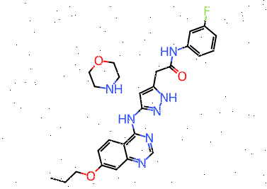 C1COCCN1.CCCOc1ccc2c(Nc3cc(CC(=O)Nc4cccc(F)c4)[nH]n3)ncnc2c1